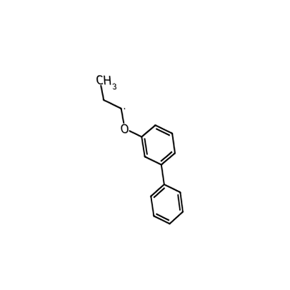 CC[CH]Oc1cccc(-c2ccccc2)c1